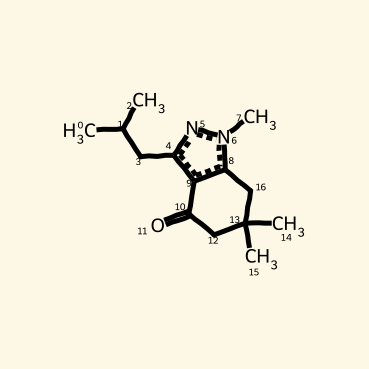 CC(C)Cc1nn(C)c2c1C(=O)CC(C)(C)C2